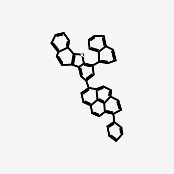 c1ccc(-c2ccc3ccc4c(-c5cc(-c6cccc7ccccc67)c6oc7c8ccccc8ccc7c6c5)ccc5ccc2c3c54)cc1